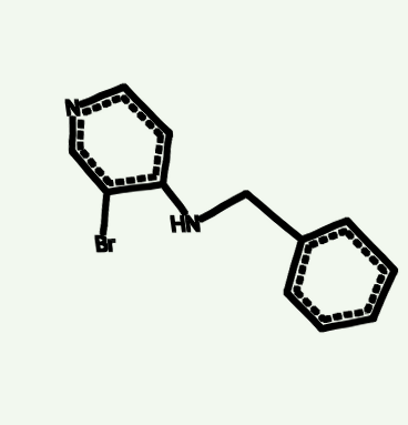 Brc1cnccc1NCc1ccccc1